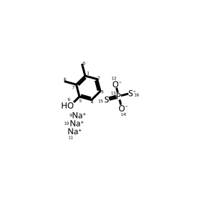 Cc1cccc(O)c1C.[Na+].[Na+].[Na+].[O-]P([O-])(=S)[S-]